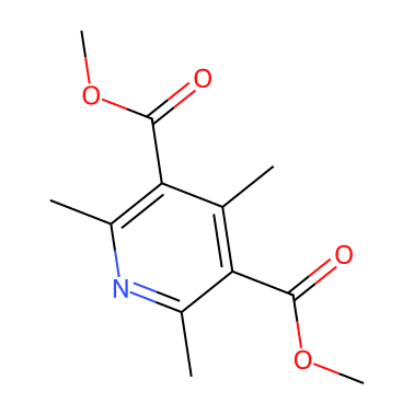 COC(=O)c1c(C)nc(C)c(C(=O)OC)c1C